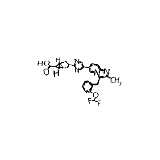 Cc1nc2ccc(-c3cnc(C4C[C@@H]5C(C(=O)O)[C@@H]5C4)nc3)cn2c1Cc1ccccc1OC(F)F